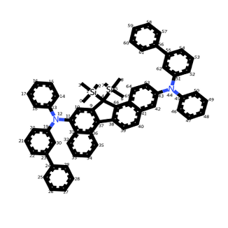 C[Si](C)(C)C1([Si](C)(C)C)c2cc(N(c3ccccc3)c3cccc(-c4ccccc4)c3)c3ccccc3c2-c2ccc3cc(N(c4ccccc4)c4cccc(-c5ccccc5)c4)ccc3c21